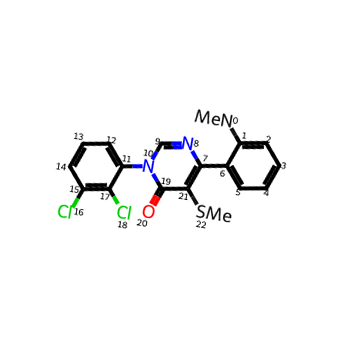 CNc1ccccc1-c1ncn(-c2cccc(Cl)c2Cl)c(=O)c1SC